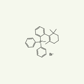 CC1=C(c2ccccc2[P+](C)(c2ccccc2)c2ccccc2)C(C)(C)CCC1.[Br-]